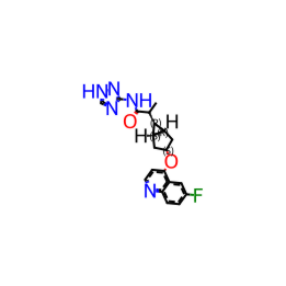 CC(C(=O)Nc1nc[nH]n1)[C@H]1[C@@H]2C[C@@H](Oc3ccnc4ccc(F)cc34)C[C@@H]21